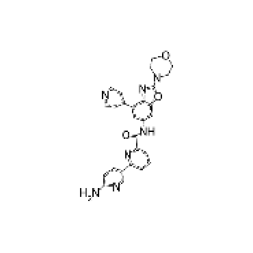 Nc1ccc(-c2cccc(C(=O)Nc3cc(-c4ccncc4)c4nc(N5CCOCC5)oc4c3)n2)cn1